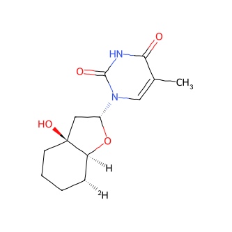 [2H][C@@H]1CCC[C@]2(O)C[C@H](n3cc(C)c(=O)[nH]c3=O)O[C@@H]12